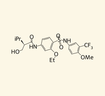 CCOc1cc(NC(=O)[C@@H](CO)C(C)C)ccc1S(=O)(=O)Nc1ccc(OC)c(C(F)(F)F)c1